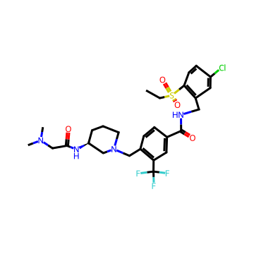 CCS(=O)(=O)c1ccc(Cl)cc1CNC(=O)c1ccc(CN2CCC[C@H](NC(=O)CN(C)C)C2)c(C(F)(F)F)c1